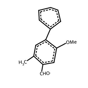 COc1cc([C]=O)c(C)cc1-c1ccccc1